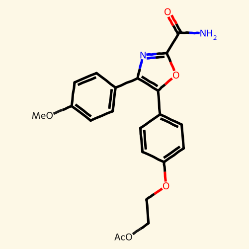 COc1ccc(-c2nc(C(N)=O)oc2-c2ccc(OCCOC(C)=O)cc2)cc1